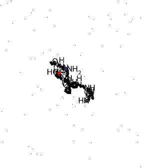 CCC(=O)NCCNC(=O)/N=C(/N)NCCC[C@@H](NC(=O)C(c1ccccc1)c1ccc(NCCCNC(=O)CN(C)C(=O)CN(C)C(=O)CNC)cc1)C(=O)NCc1ccc(O)cc1